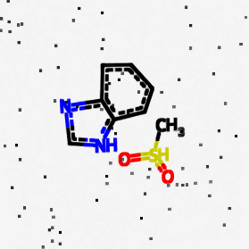 C[SH](=O)=O.c1ccc2[nH]cnc2c1